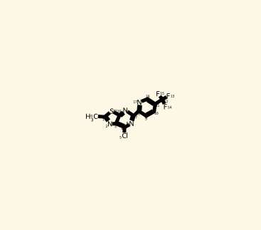 Cc1nc2c(Cl)nc(-c3ccc(C(F)(F)F)cn3)nc2s1